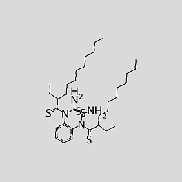 CCCCCCCCCC(CC)C(=S)N(C(N)=S)c1ccccc1N(C(N)=S)C(=S)C(CC)CCCCCCCCC